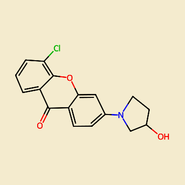 O=c1c2ccc(N3CCC(O)C3)cc2oc2c(Cl)cccc12